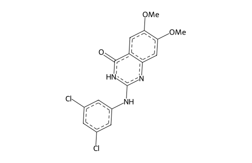 COc1cc2nc(Nc3cc(Cl)cc(Cl)c3)[nH]c(=O)c2cc1OC